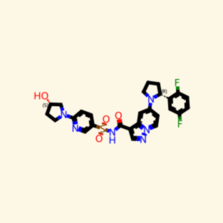 O=C(NS(=O)(=O)c1ccc(N2CC[C@H](O)C2)nc1)c1cnn2ccc(N3CCC[C@@H]3c3cc(F)ccc3F)cc12